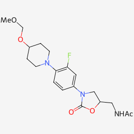 COCOC1CCN(c2ccc(N3CC(CNC(C)=O)OC3=O)cc2F)CC1